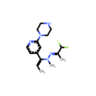 C/C=C(/c1ccnc(N2CCNCC2)c1)N(C)/N=C(\C)C(F)F